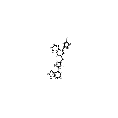 Cc1nc(-c2cc(Cc3nc(-c4cccc5c4OCO5)no3)cc3c2OCCO3)no1